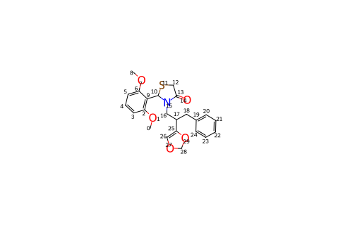 COc1cccc(OC)c1C1SCC(=O)N1CC(Cc1ccccc1)C1=COCO1